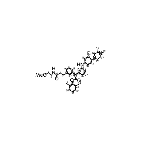 COCCNC(=O)CCc1cccc(N(C(=O)Oc2c(C)cccc2C)c2ccnc(Nc3ccc(N4CCN(C)C(C)C4)c(F)c3)n2)c1